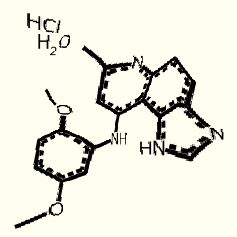 COc1ccc(OC)c(Nc2cc(C)nc3ccc4nc[nH]c4c23)c1.Cl.O